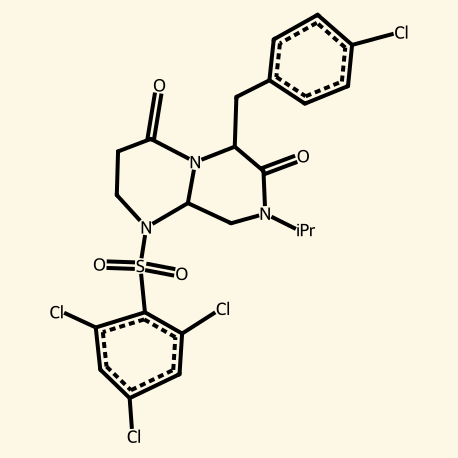 CC(C)N1CC2N(C(=O)CCN2S(=O)(=O)c2c(Cl)cc(Cl)cc2Cl)C(Cc2ccc(Cl)cc2)C1=O